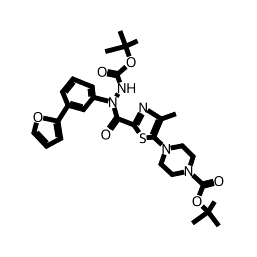 Cc1nc(C(=O)N(NC(=O)OC(C)(C)C)c2cccc(-c3ccco3)c2)sc1N1CCN(C(=O)OC(C)(C)C)CC1